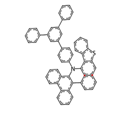 c1ccc(-c2cc(-c3ccccc3)cc(-c3ccc(N(c4c(-c5ccccc5)c5ccccc5c5ccccc45)c4cccc5sc6ccccc6c45)cc3)c2)cc1